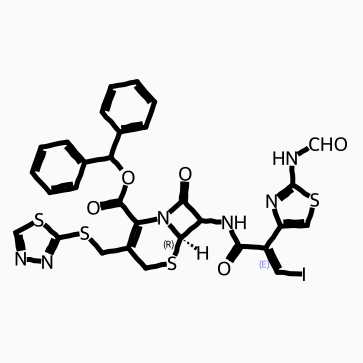 O=CNc1nc(/C(=C\I)C(=O)NC2C(=O)N3C(C(=O)OC(c4ccccc4)c4ccccc4)=C(CSc4nncs4)CS[C@H]23)cs1